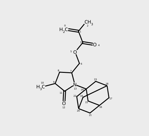 C=C(C)C(=O)OCC1CC(C)C(=O)N1C12CC3CC(CC(C3)C1)C2